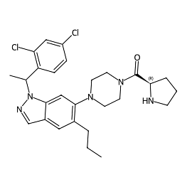 CCCc1cc2cnn(C(C)c3ccc(Cl)cc3Cl)c2cc1N1CCN(C(=O)[C@H]2CCCN2)CC1